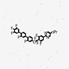 CCCc1cnc(-c2cc(F)c(C(F)(F)Oc3ccc(-c4ccc(-c5cc(F)c(F)c(F)c5)c(F)c4)c(F)c3)c(F)c2)nc1